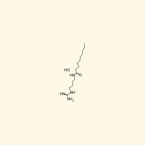 CCCCCCCCCC(=O)NCCCCNC(=N)N.Cl